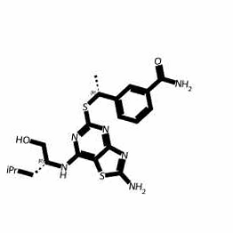 CC(C)C[C@H](CO)Nc1nc(S[C@H](C)c2cccc(C(N)=O)c2)nc2nc(N)sc12